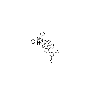 N#Cc1cc(C#N)cc(-c2cccc3c2-c2ccccc2C32c3ccccc3Oc3c(-c4nc(-c5ccccc5)nc(-c5ccccc5)n4)cccc32)c1